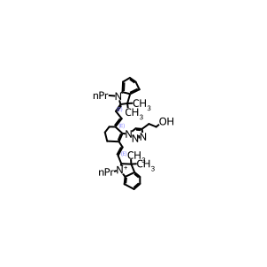 CCCN1/C(=C/C=C2\CCCC(/C=C/C3=[N+](CCC)c4ccccc4C3(C)C)=C2n2cc(CCO)nn2)C(C)(C)c2ccccc21